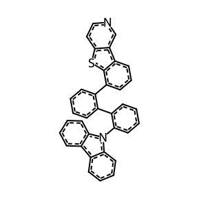 c1ccc(-c2cccc3c2sc2ccncc23)c(-c2ccccc2-n2c3ccccc3c3ccccc32)c1